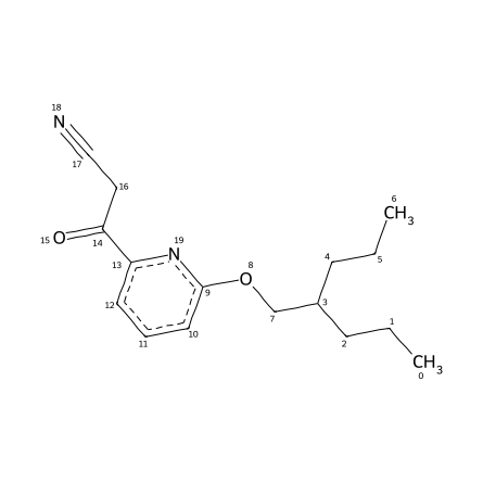 CCCC(CCC)COc1cccc(C(=O)CC#N)n1